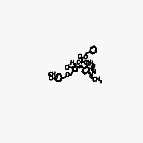 CCn1nnc2c(C)c([C@H](c3cc(COCc4ccc(OC)cc4)c(Cl)s3)C(C)(C)C(=O)OCc3ccccc3)ccc21